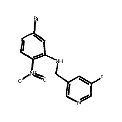 O=[N+]([O-])c1ccc(Br)cc1NCc1cncc(F)c1